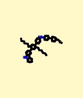 CCCCCCc1cc(-c2ccc3[nH]c4ccccc4c3c2)c(CCCCCC)cc1-c1ccc(Nc2ccc(-c3ccc(CCC)cc3)cc2)cc1